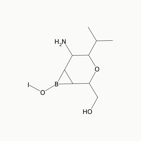 CC(C)C1OC(CO)C2B(OI)C2C1N